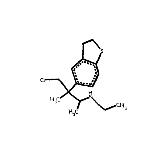 CCNC(C)C(C)(CCl)c1ccc2c(c1)CCS2